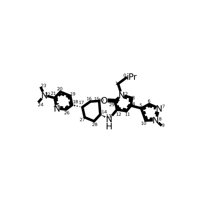 CC(C)Cn1cc(-c2cnn(C)c2)cc(N[C@H]2CC[C@@H](c3ccc(N(C)C)nc3)CC2)c1=O